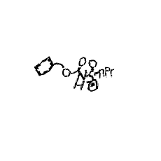 CCCS(=O)(=O)NC(=O)OCc1ccccc1